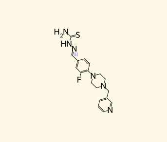 NC(=S)N/N=C/c1ccc(N2CCN(Cc3cccnc3)CC2)c(F)c1